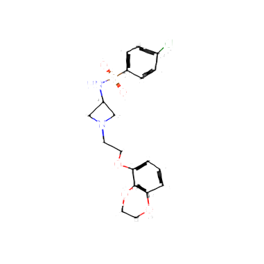 O=S(=O)(NC1CN(CCOc2cccc3c2OCCO3)C1)c1ccc(Cl)cc1